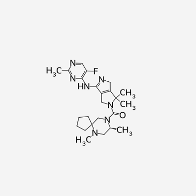 Cc1ncc(F)c(NC2=NCC3=C2CN(C(=O)N2CC4(CCCC4)N(C)C[C@@H]2C)C3(C)C)n1